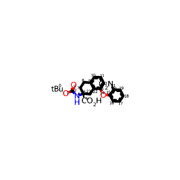 CC(C)(C)OC(=O)N[C@]1(C(=O)O)CCc2cccc(Oc3ccccc3[N+](=O)[O-])c2C1